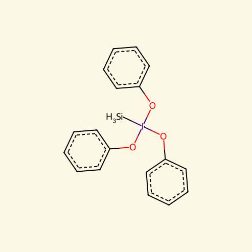 [SiH3][I](Oc1ccccc1)(Oc1ccccc1)Oc1ccccc1